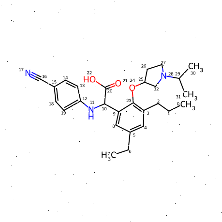 CCCc1cc(CC)cc(C(Nc2ccc(C#N)cc2)C(=O)O)c1OC1CCN(C(C)C)C1